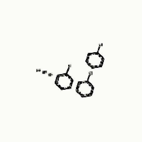 Clc1ccccc1.Clc1ccccc1.Clc1ccccc1.F.F.F